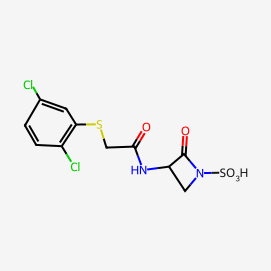 O=C(CSc1cc(Cl)ccc1Cl)NC1CN(S(=O)(=O)O)C1=O